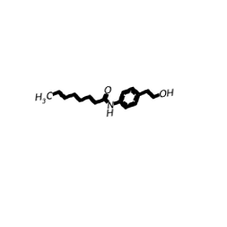 CCCCCCCC(=O)Nc1ccc(CCO)cc1